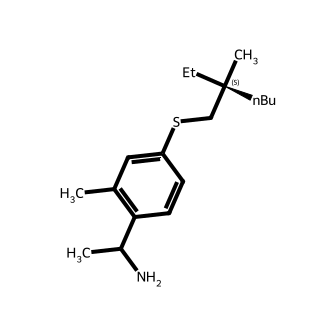 CCCC[C@](C)(CC)CSc1ccc(C(C)N)c(C)c1